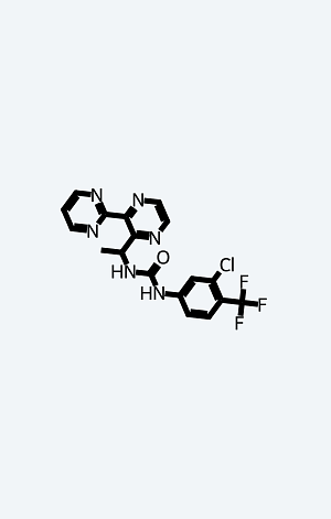 CC(NC(=O)Nc1ccc(C(F)(F)F)c(Cl)c1)c1nccnc1-c1ncccn1